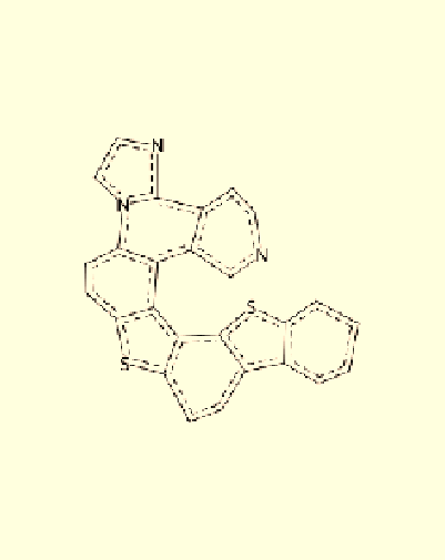 c1ccc2c(c1)sc1c2ccc2sc3ccc4c(c5cnccc5c5nccn45)c3c21